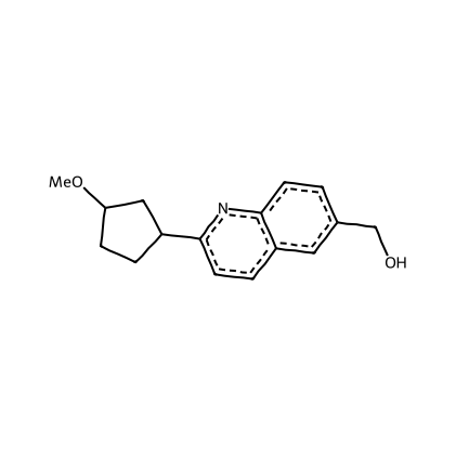 COC1CCC(c2ccc3cc(CO)ccc3n2)C1